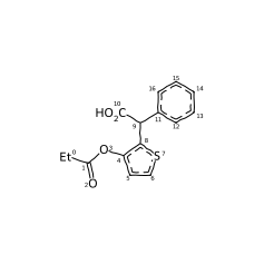 CCC(=O)Oc1ccsc1C(C(=O)O)c1ccccc1